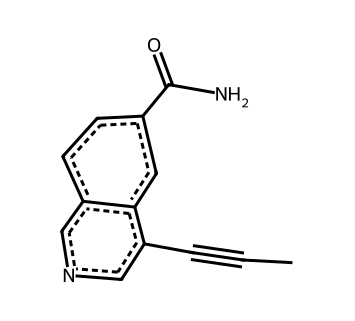 CC#Cc1cncc2ccc(C(N)=O)cc12